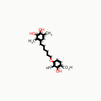 CCCc1c(OCCCCCCc2cc(C)c(O)c(O)c2C)ccc(C(=O)O)c1O